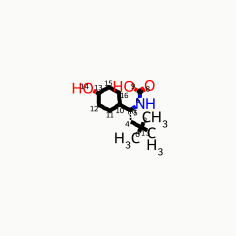 CC(C)(C)C[C@@H](NC(=O)O)C1CCC(O)CC1